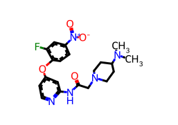 CN(C)C1CCN(CC(=O)Nc2cc(Oc3ccc([N+](=O)[O-])cc3F)ccn2)CC1